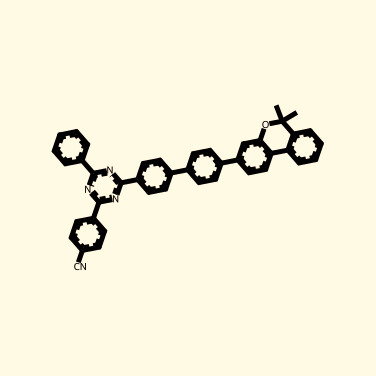 CC1(C)Oc2cc(-c3ccc(-c4ccc(-c5nc(-c6ccccc6)nc(-c6ccc(C#N)cc6)n5)cc4)cc3)ccc2-c2ccccc21